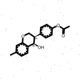 CC(=O)Oc1ccc([C@@H]2COc3cc(C)ccc3[C@@H]2O)cc1